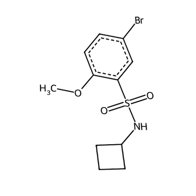 COc1ccc(Br)cc1S(=O)(=O)NC1CCC1